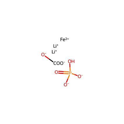 O=C([O-])[O-].O=P([O-])([O-])O.[Fe+2].[Li+].[Li+]